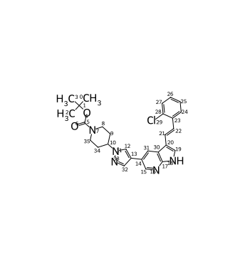 CC(C)(C)OC(=O)N1CCC(n2cc(-c3cnc4[nH]cc(C=Cc5ccccc5Cl)c4c3)cn2)CC1